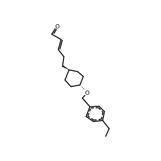 CCc1ccc(CO[C@H]2CC[C@H](CCC=CC=O)CC2)cc1